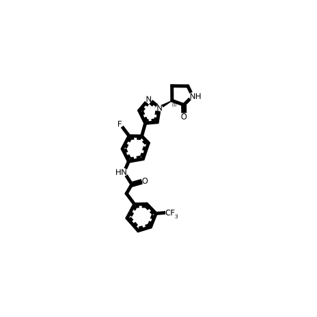 O=C(Cc1cccc(C(F)(F)F)c1)Nc1ccc(-c2cnn([C@H]3CCNC3=O)c2)c(F)c1